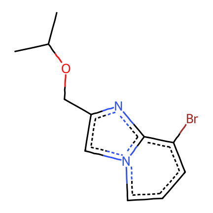 CC(C)OCc1cn2cccc(Br)c2n1